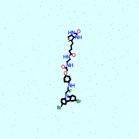 O=C(CCCCC1SCC2NC(=O)NC21)NCCNC(=O)COc1ccc(NCC(F)Cn2c3ccc(Br)cc3c3cc(Br)ccc32)cc1